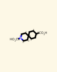 O=C(O)C1CCC2(CC1)CCN(C(=O)O)CC2